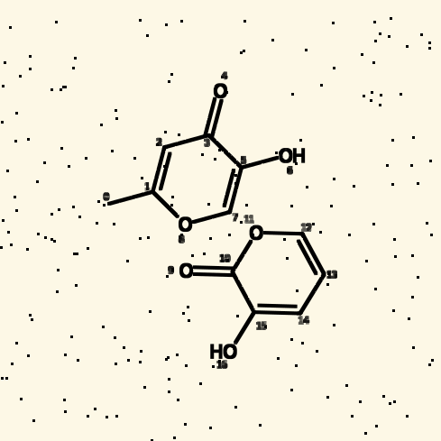 Cc1cc(=O)c(O)co1.O=c1occcc1O